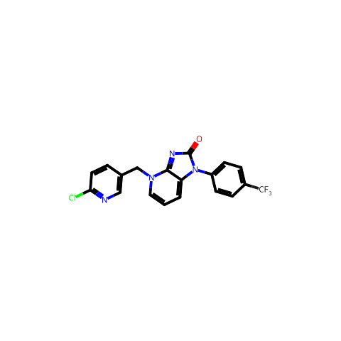 O=c1nc2n(Cc3ccc(Cl)nc3)cccc-2n1-c1ccc(C(F)(F)F)cc1